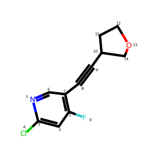 Fc1cc(Cl)ncc1C#CC1CCOC1